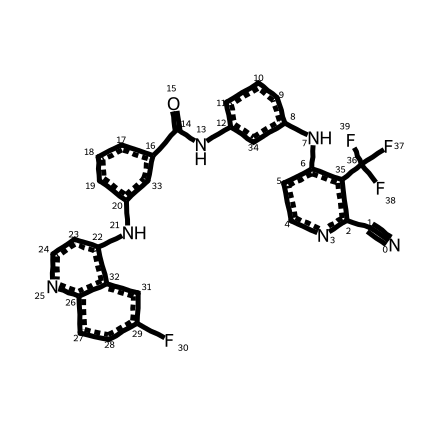 N#Cc1nccc(Nc2cccc(NC(=O)c3cccc(Nc4ccnc5ccc(F)cc45)c3)c2)c1C(F)(F)F